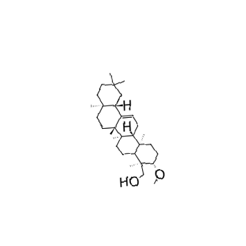 CO[C@H]1CC[C@@]2(C)C(CC[C@]3(C)[C@@H]2CC=C2[C@H]4CC(C)(C)CC[C@]4(C)CC[C@]23C)[C@]1(C)CO